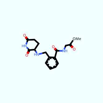 COC(=O)CNC(=O)c1ccccc1CNC1CCC(=O)NC1=O